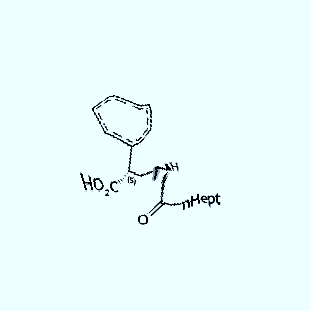 CCCCCCCC(=O)N[C@H](C(=O)O)c1ccccc1